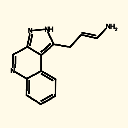 NC=CCc1[nH]nc2cnc3ccccc3c12